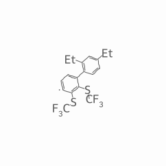 CCc1ccc(-c2cc[c]c(SC(F)(F)F)c2SC(F)(F)F)c(CC)c1